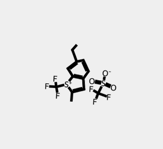 CCc1ccc2cc(C)[s+](C(F)(F)F)c2c1.O=S(=O)([O-])C(F)(F)F